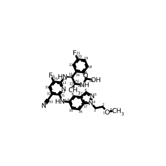 COCCn1ncc2cc(Nc3nc(N[C@@H](c4cccc(F)c4)[C@H](C)NC(=O)O)c(F)cc3C#N)ccc21